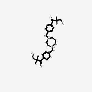 CC(C)(CCl)C(=O)c1ccc(CN2CCCN(Cc3ccc(C(=O)C(C)(C)CCl)cc3)CC2)cc1